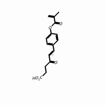 C=C(C)C(=O)Oc1ccc(/C=C/C(=O)CCC(=O)O)cc1